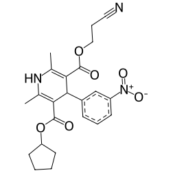 CC1=C(C(=O)OCCC#N)C(c2cccc([N+](=O)[O-])c2)C(C(=O)OC2CCCC2)=C(C)N1